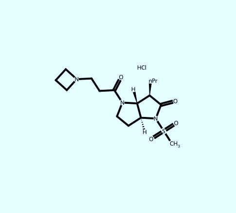 CCC[C@H]1C(=O)N(S(C)(=O)=O)[C@H]2CCN(C(=O)CCN3CCC3)[C@H]12.Cl